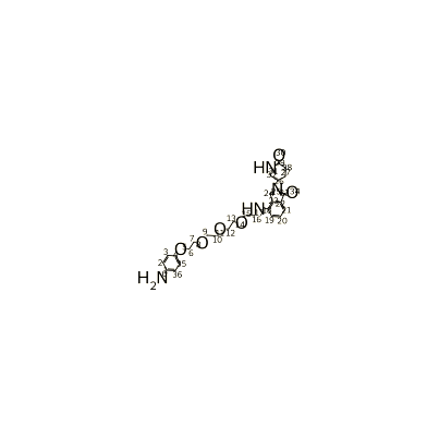 Nc1ccc(OCCOCCOCCOCCNc2cccc3c2CN(C2CCC(=O)NC2)C3=O)cc1